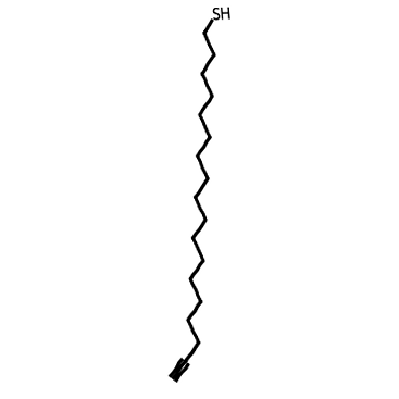 C#CCCCCCCCCCCCCCCCCS